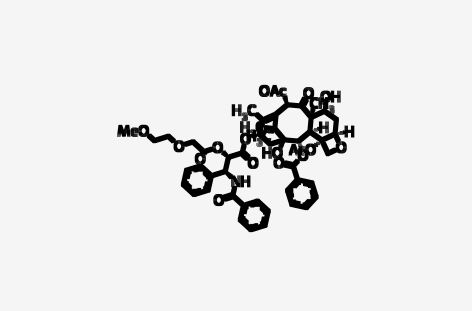 COCCOCC(=O)O[C@@H](C(=O)O[C@H]1C[C@@]2(O)[C@@H](OC(=O)c3ccccc3)[C@@H]3[C@]4(OC(C)=O)CO[C@@H]4C[C@H](O)[C@@]3(C)C(=O)[C@H](OC(C)=O)C(=C1C)C2(C)C)[C@@H](NC(=O)c1ccccc1)c1ccccc1